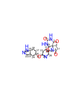 O=C1NC(=O)C2(CCC(=O)N2c2ccc(Oc3ccc4[nH]ncc4c3)nc2)C(=O)N1